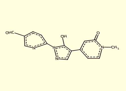 Cn1ccc(-c2cnn(-c3ccc(C=O)cn3)c2O)cc1=O